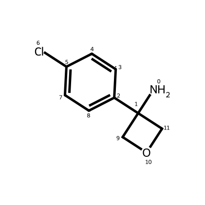 NC1(c2[c]cc(Cl)cc2)COC1